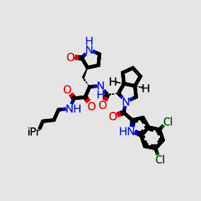 CC(C)CCCNC(=O)C(=O)[C@H](C[C@@H]1CCNC1=O)NC(=O)[C@@H]1[C@H]2CCC[C@H]2CN1C(=O)c1cc2c(Cl)cc(Cl)cc2[nH]1